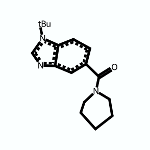 CC(C)(C)n1cnc2cc(C(=O)N3CCCCC3)ccc21